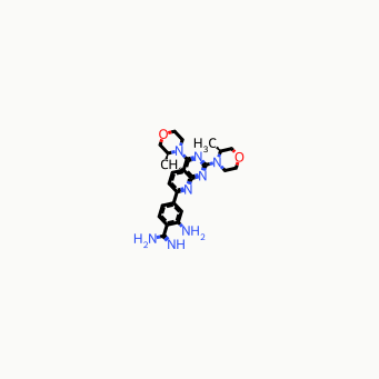 C[C@H]1COCCN1c1nc(N2CCOC[C@@H]2C)c2ccc(-c3ccc(C(=N)N)c(N)c3)nc2n1